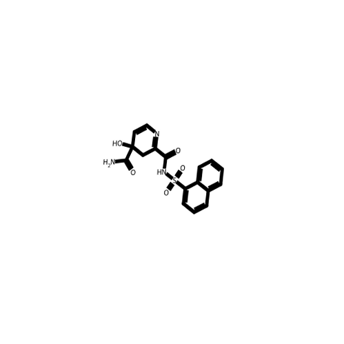 NC(=O)C1(O)C=CN=C(C(=O)NS(=O)(=O)c2cccc3ccccc23)C1